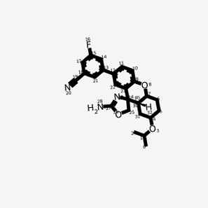 CC(C)OC1CCC2Oc3ccc(-c4cc(F)cc(C#N)c4)cc3C3(COC(N)=N3)[C@H]2C1